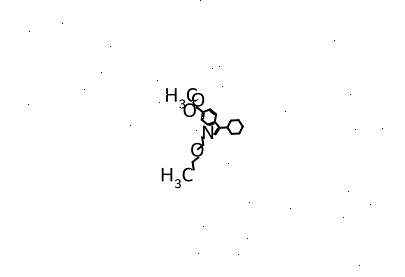 CCCCOCCn1cc(C2CCCCC2)c2ccc(C(=O)OC)cc21